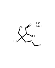 CCOCC(N)(CO)C(O)C=O.Cl.[NaH]